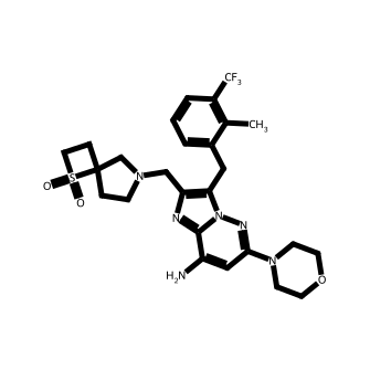 Cc1c(Cc2c(CN3CCC4(CCS4(=O)=O)C3)nc3c(N)cc(N4CCOCC4)nn23)cccc1C(F)(F)F